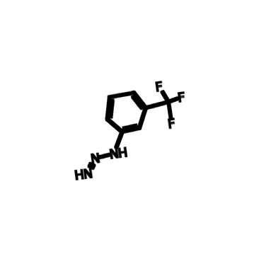 N=NNc1cccc(C(F)(F)F)c1